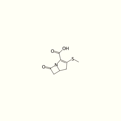 CSC1=C(C(=O)O)N2C(=O)CC2C1